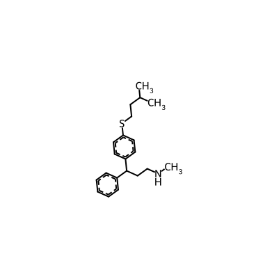 CNCCC(c1ccccc1)c1ccc(SCCC(C)C)cc1